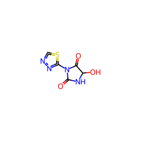 O=C1NC(O)C(=O)N1c1nncs1